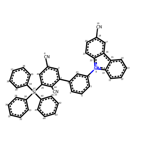 N#Cc1cc(-c2cccc(-n3c4ccccc4c4cc(C#N)ccc43)c2)c(C#N)c([Si](c2ccccc2)(c2ccccc2)c2ccccc2)c1